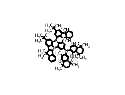 Cc1cc2c(cc1N(c1cc3c4c(c1)-n1c5c(c6cc(C(C)(C)C)cc(c61)B4c1cc(C(C)(C)C)cc4c1N3C1(C)CCCCC41C)C(C)(C)c1ccccc1-5)c1ccc3c(c1C)C(C)(C)CCC3(C)C)C(C)(C)CCC2(C)C